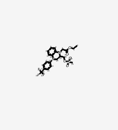 CCOC(=O)CN1c2ccccc2N(c2ccc(C(F)(F)F)cc2)CC1COS(C)(=O)=O